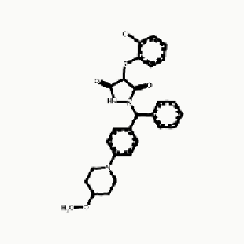 COC1CCN(c2ccc(C(c3ccccc3)N3NC(=O)C(Sc4ccccc4Cl)C3=O)cc2)CC1